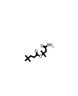 CC(C)(C)CCC(=O)OC(C)(C)CC(N)=O